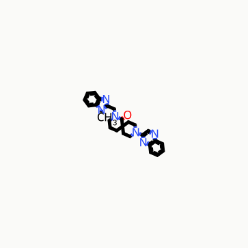 Cn1c(CN2CCCC3(CCN(c4cnc5ccccc5n4)CC3)C2=O)nc2ccccc21